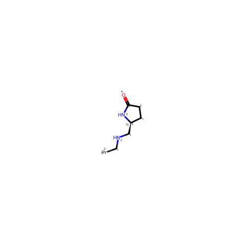 CC(C)CNC[C@@H]1CCC(=O)N1